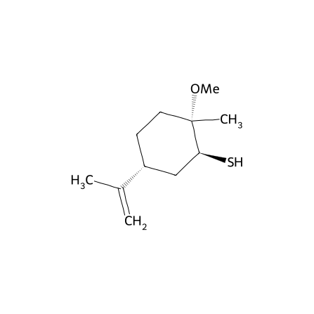 C=C(C)[C@@H]1CC[C@](C)(OC)[C@@H](S)C1